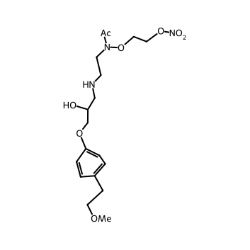 COCCc1ccc(OCC(O)CNCCN(OCCO[N+](=O)[O-])C(C)=O)cc1